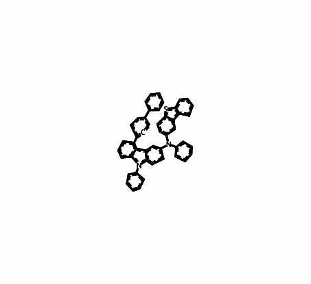 c1ccc(-c2ccc(-c3cccc4c3c3cc(N(c5ccccc5)c5ccc6sc7ccccc7c6c5)ccc3n4-c3ccccc3)cc2)cc1